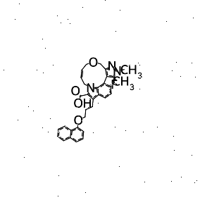 Cc1c2c(nn1C)COC/C=C\Cn1c(C(=O)O)c(CCCOc3cccc4ccccc34)c3ccc(F)c-2c31